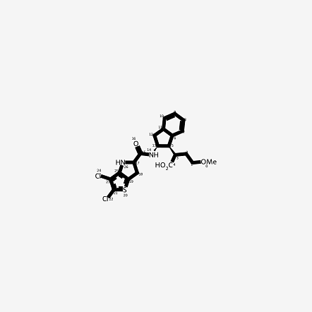 COCCC(C(=O)O)[C@@H]1C2C=CC=CC2C[C@H]1NC(=O)C1Cc2sc(Cl)c(Cl)c2N1